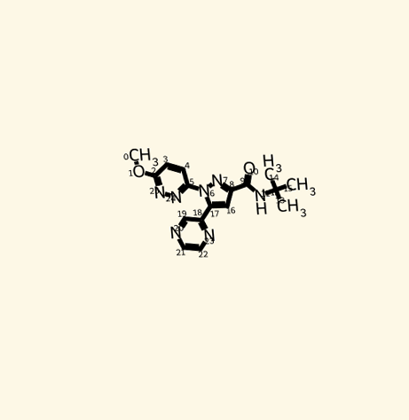 COc1ccc(-n2nc(C(=O)NC(C)(C)C)cc2-c2cnccn2)nn1